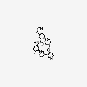 Cc1ccc(NC(=O)c2cccc(C(C)C#N)c2)cc1-n1cc(-c2cnccc2OCC2CCOCC2)cn1